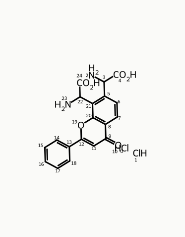 Cl.Cl.NC(C(=O)O)c1ccc2c(=O)cc(-c3ccccc3)oc2c1C(N)C(=O)O